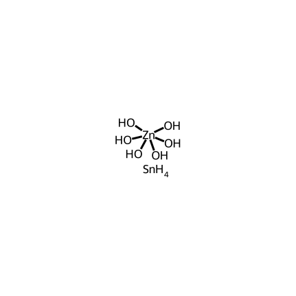 [OH][Zn]([OH])([OH])([OH])([OH])[OH].[SnH4]